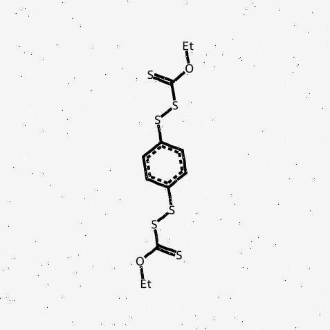 CCOC(=S)SSc1ccc(SSC(=S)OCC)cc1